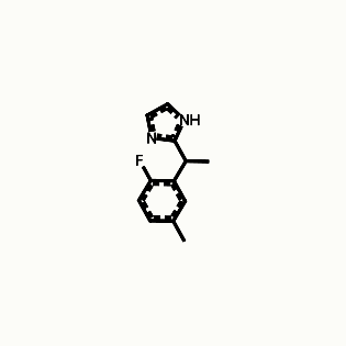 Cc1ccc(F)c(C(C)c2ncc[nH]2)c1